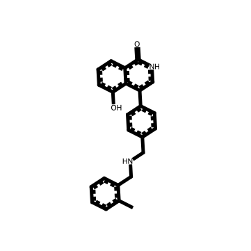 Cc1ccccc1CNCc1ccc(-c2c[nH]c(=O)c3cccc(O)c23)cc1